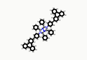 c1ccc(B2N(c3ccc(-c4ccc5c6ccccc6c6ccccc6c5c4)cc3)B(c3ccccc3)N3B(c4ccccc4)N(c4ccc(-c5ccc6c7ccccc7c7ccccc7c6c5)cc4)B(c4ccccc4)N23)cc1